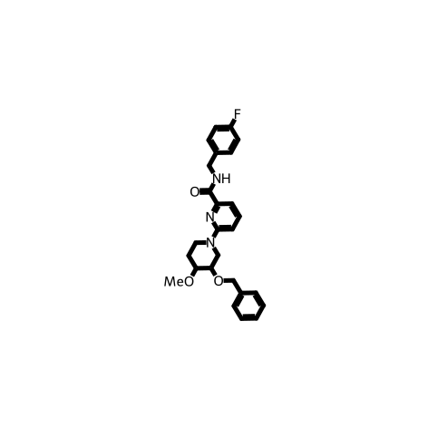 COC1CCN(c2cccc(C(=O)NCc3ccc(F)cc3)n2)CC1OCc1ccccc1